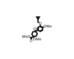 COC(=O)C1(OC)CCC(C#N)(c2ccc(OC)c(OCC3CC3)c2)CC1